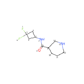 O=C(NC1CC(F)(F)C1)C1CCCNC1